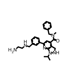 CC(C)N1NCc2c(C(=O)N(C)Cc3ccccc3)cc(-c3cccc(CNCCN)c3)nc21